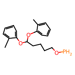 Cc1ccccc1OC(CCCCOP)Oc1ccccc1C